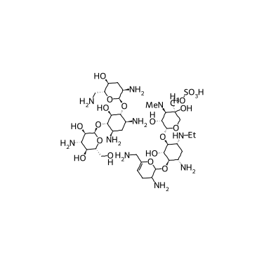 CCN[C@@H]1C[C@H](N)[C@@H](OC2OC(CN)=CCC2N)[C@H](O)[C@H]1O[C@H]1OC[C@](C)(O)[C@H](NC)[C@H]1O.NC[C@H]1O[C@H](O[C@H]2[C@H](O)[C@@H](O[C@H]3O[C@H](CO)[C@@H](O)[C@H](N)[C@H]3O)[C@H](N)C[C@@H]2N)[C@H](N)C[C@@H]1O.O=S(=O)(O)O